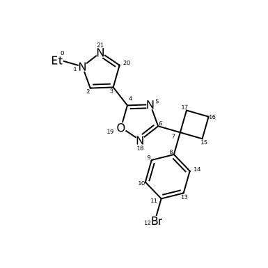 CCn1cc(-c2nc(C3(c4ccc(Br)cc4)CCC3)no2)cn1